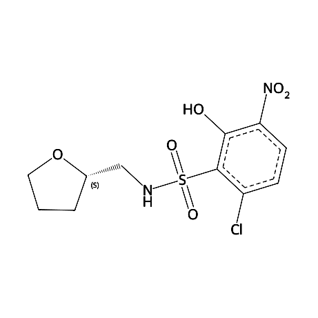 O=[N+]([O-])c1ccc(Cl)c(S(=O)(=O)NC[C@@H]2CCCO2)c1O